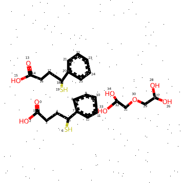 O=C(O)CCC(S)c1ccccc1.O=C(O)CCC(S)c1ccccc1.OC(O)COCC(O)O